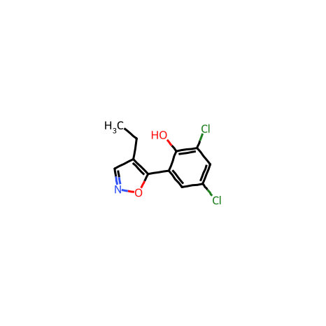 CCc1cnoc1-c1cc(Cl)cc(Cl)c1O